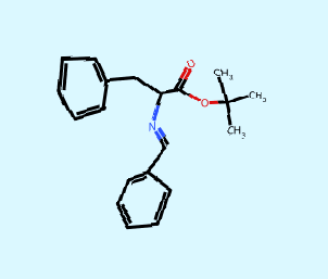 CC(C)(C)OC(=O)C(Cc1ccccc1)N=Cc1ccccc1